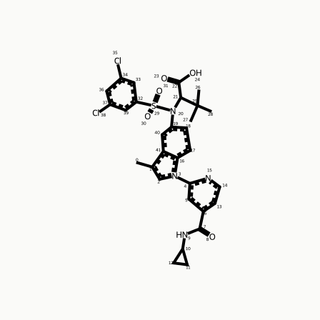 Cc1cn(-c2cc(C(=O)NC3CC3)ccn2)c2ccc(N(C(C(=O)O)C(C)(C)C)S(=O)(=O)c3cc(Cl)cc(Cl)c3)cc12